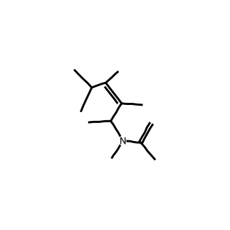 C=C(C)N(C)C(C)/C(C)=C(/C)C(C)C